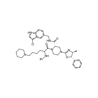 CC(C)NC(CCCCN1CCCCC1)C(=O)N1CCN(C2=N[C@@H](C)[C@H](c3ccccc3)O2)C[C@H]1C(=O)NCc1ccc2[nH]cc(Cl)c2c1